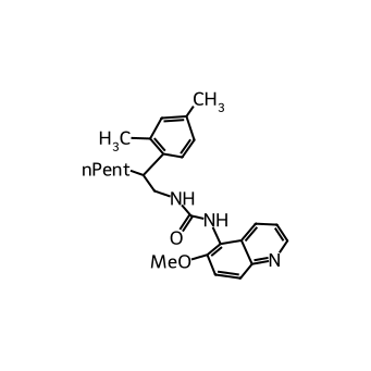 CCCCCC(CNC(=O)Nc1c(OC)ccc2ncccc12)c1ccc(C)cc1C